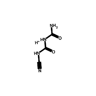 N#CNC(=O)NC(N)=O.[H+]